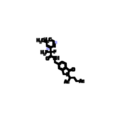 C=C/C=C(\N=C/C)C(F)(P)C(=O)NCc1ccc2c(c1)CN(C(CCC(C)=O)C(C)=O)C2=O